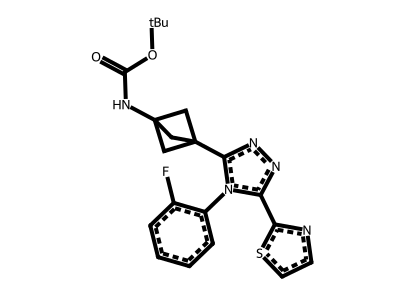 CC(C)(C)OC(=O)NC12CC(c3nnc(-c4nccs4)n3-c3ccccc3F)(C1)C2